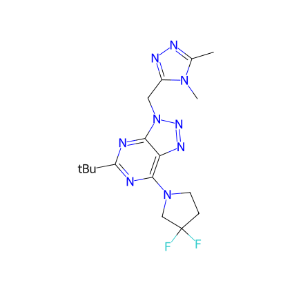 Cc1nnc(Cn2nnc3c(N4CCC(F)(F)C4)nc(C(C)(C)C)nc32)n1C